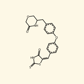 O=C1COCC(Cc2ccc(Oc3ccc(C=C4SC(=S)NC4=O)cc3)cc2)N1